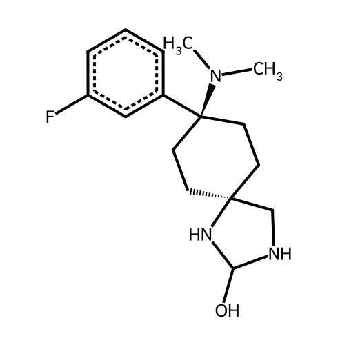 CN(C)[C@]1(c2cccc(F)c2)CC[C@]2(CC1)CNC(O)N2